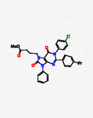 COC(=O)CCCn1c(=O)n(-c2ccccc2)c2nc(-c3ccc(C(C)C)cc3)n(-c3ccc(Cl)cc3)c(=O)c21